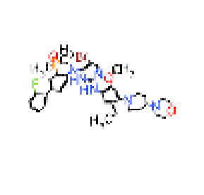 CCc1cc(Nc2ncc(Br)c(Nc3ccc(-c4ccccc4F)cc3P(C)(C)=O)n2)c(OC)cc1N1CCC(N2CCOCC2)CC1